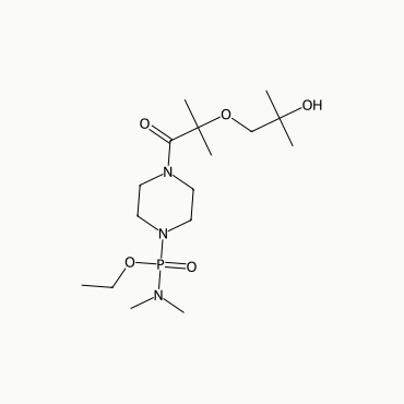 CCOP(=O)(N(C)C)N1CCN(C(=O)C(C)(C)OCC(C)(C)O)CC1